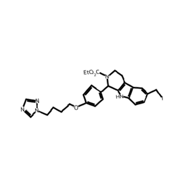 CCOC(=O)N1CCc2c([nH]c3ccc(CI)cc23)C1c1ccc(OCCCCn2cncn2)cc1